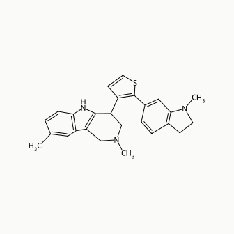 Cc1ccc2[nH]c3c(c2c1)CN(C)CC3c1ccsc1-c1ccc2c(c1)N(C)CC2